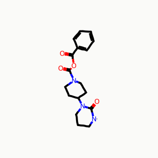 O=C(OC(=O)N1CCC(N2CCC[N]C2=O)CC1)c1ccccc1